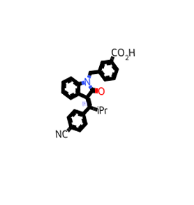 CC(C)/C(=C1\C(=O)N(Cc2cccc(C(=O)O)c2)c2ccccc21)c1ccc(C#N)cc1